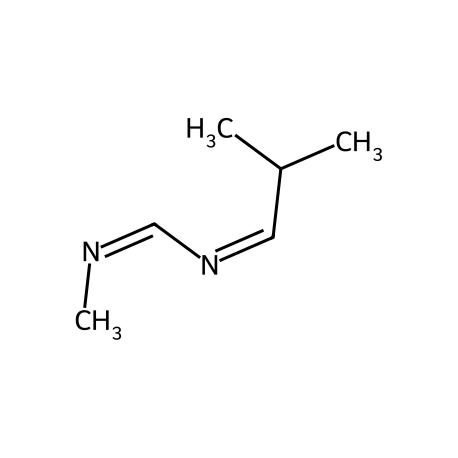 C/N=C\N=C/C(C)C